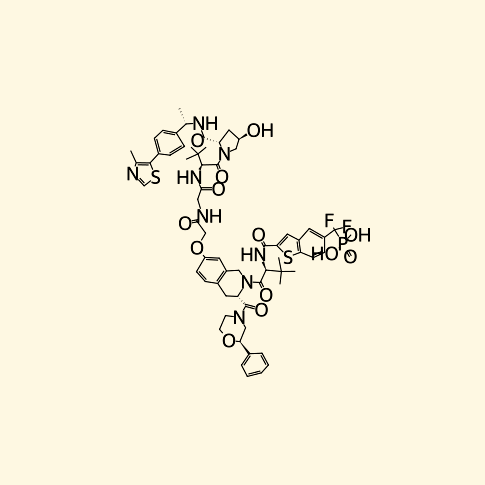 Cc1ncsc1-c1ccc([C@H](C)NC(=O)[C@@H]2C[C@@H](O)CN2C(=O)[C@@H](NC(=O)CNC(=O)COc2ccc3c(c2)CN(C(=O)[C@@H](NC(=O)c2cc4cc(C(F)(F)P(=O)(O)O)ccc4s2)C(C)(C)C)[C@H](C(=O)N2CCO[C@H](c4ccccc4)C2)C3)C(C)(C)C)cc1